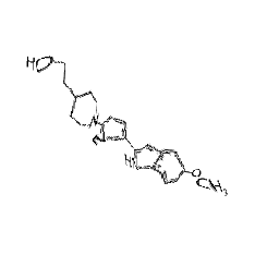 COc1ccc2[nH]c(-c3ccc(N4CCC(CCO)CC4)nc3)cc2c1